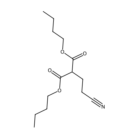 CCCCOC(=O)C(CCC#N)C(=O)OCCCC